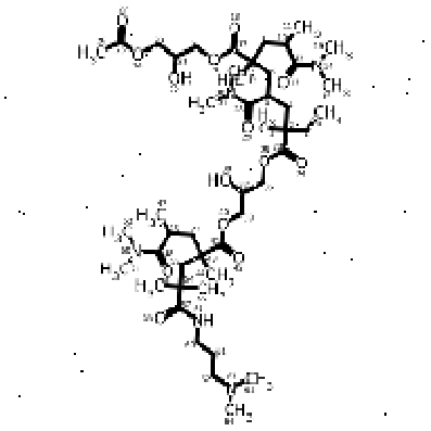 CCC(C)(CC(CC(C)(CC(C)C(=O)N(C)C)C(=O)OCC(O)COC(C)=O)C(=O)N(C)C)C(=O)OCC(O)COC(=O)C(C)(CC(C)C(=O)N(C)C)CC(C)(C)C(=O)NCCCN(C)C